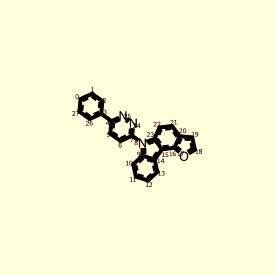 c1ccc(-c2ccc(-n3c4ccccc4c4c5occc5ccc43)nn2)cc1